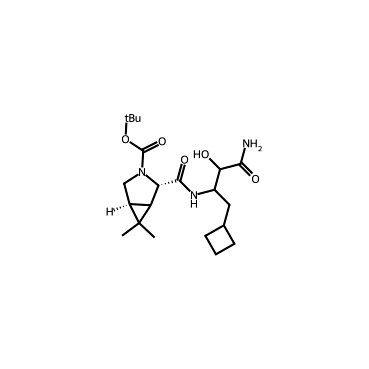 CC(C)(C)OC(=O)N1C[C@H]2C([C@H]1C(=O)NC(CC1CCC1)C(O)C(N)=O)C2(C)C